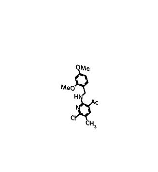 COc1ccc(CNc2nc(Cl)c(C)cc2C(C)=O)c(OC)c1